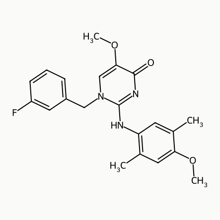 COc1cc(C)c(Nc2nc(=O)c(OC)cn2Cc2cccc(F)c2)cc1C